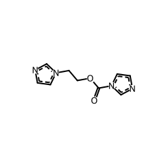 O=C(OCCn1ccnc1)n1ccnc1